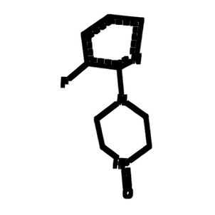 O=[PH]1CCN(c2ncccc2F)CC1